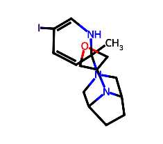 CC1(N2CC3CCC(C2)N3C2COC2)C=CC(I)=CN1